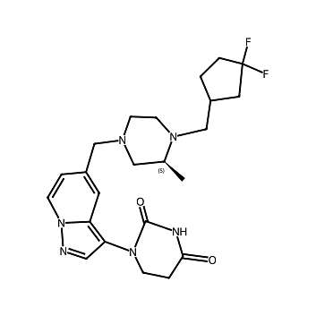 C[C@H]1CN(Cc2ccn3ncc(N4CCC(=O)NC4=O)c3c2)CCN1CC1CCC(F)(F)C1